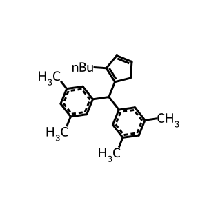 CCCCC1=C(C(c2cc(C)cc(C)c2)c2cc(C)cc(C)c2)CC=C1